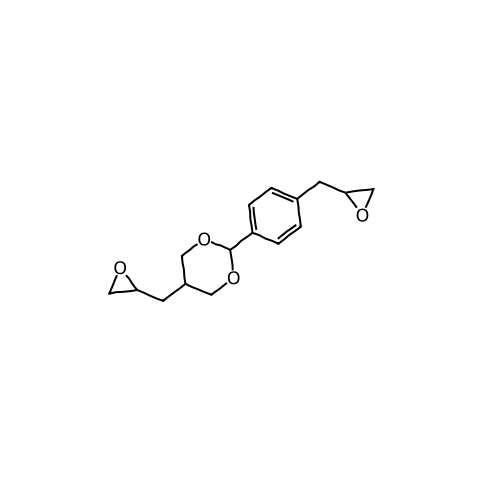 c1cc(C2OCC(CC3CO3)CO2)ccc1CC1CO1